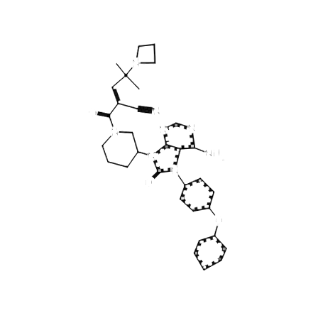 CC(C)(C=C(C#N)C(=O)N1CCCC(n2c(=O)n(-c3ccc(Oc4ccccc4)cc3)c3c(N)ncnc32)C1)N1CCC1